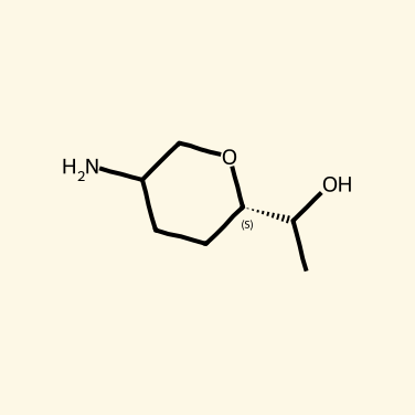 CC(O)[C@@H]1CCC(N)CO1